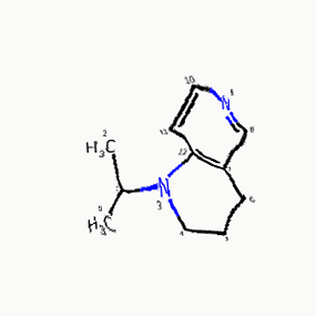 CC(C)N1CCCc2cnccc21